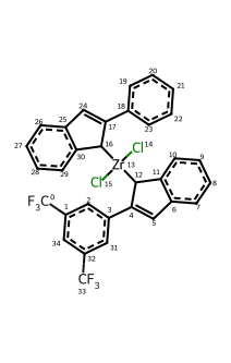 FC(F)(F)c1cc(C2=Cc3ccccc3[CH]2[Zr]([Cl])([Cl])[CH]2C(c3ccccc3)=Cc3ccccc32)cc(C(F)(F)F)c1